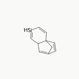 C1=CC23C=CC(=CC2C=[SiH]1)C3